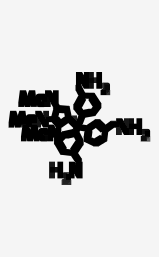 CNC1=C[C](C(c2cccc(CN)c2)(c2cccc(CN)c2)c2cccc(CN)c2)C(NC)=C1NC